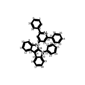 c1ccc(-c2cc(-n3c4ccccc4c4c5ccccc5n(-c5ccccc5)c43)cc(-c3ccccc3)n2)cc1